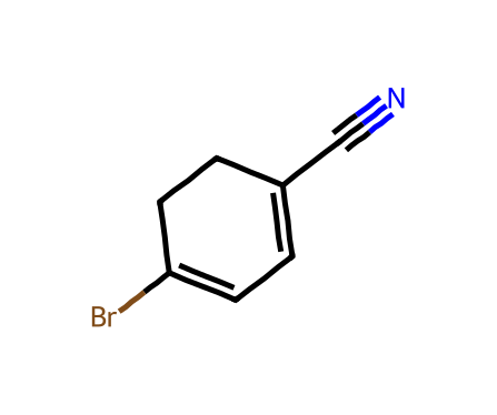 N#CC1=CC=C(Br)CC1